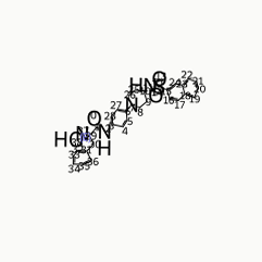 O=C(Nc1ccc(N2CCC(NS(=O)(=O)c3ccc4ccccc4c3)CC2)cc1)/C(Cc1ccccc1)=N/O